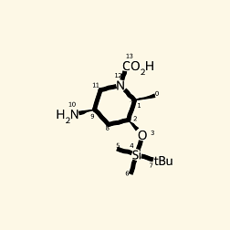 C[C@H]1[C@@H](O[Si](C)(C)C(C)(C)C)C[C@@H](N)CN1C(=O)O